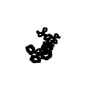 COC(=O)C1CC(C(=O)OC)C(C(F)(F)C(F)(F)S(=O)(=O)OS(c2ccccc2)(c2ccccc2)c2ccccc2)C1